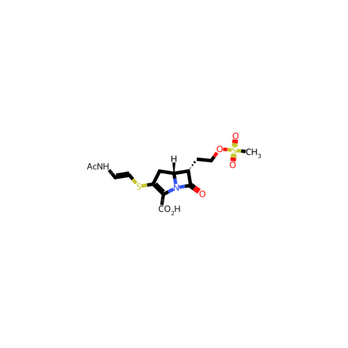 CC(=O)N/C=C/SC1=C(C(=O)O)N2C(=O)[C@@H](CCOS(C)(=O)=O)[C@H]2C1